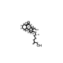 CC(CO)CCC[C@@H](C)[C@H]1CC[C@H]2[C@@H]3CC(=O)C4(O)CCCC[C@]4(C)[C@H]3CC[C@]12C